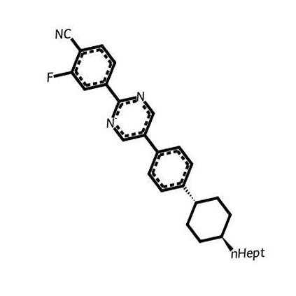 CCCCCCC[C@H]1CC[C@H](c2ccc(-c3cnc(-c4ccc(C#N)c(F)c4)nc3)cc2)CC1